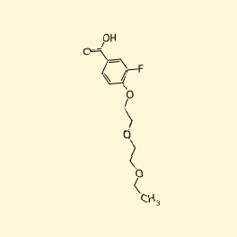 CCOCCOCCOc1ccc(C(=O)O)cc1F